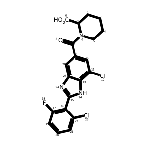 O=C(O)C1CCCCN1C(=O)c1cc(Cl)c2[nH]c(-c3c(F)cccc3Cl)nc2c1